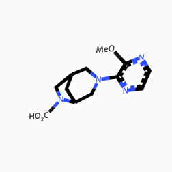 COc1nccnc1N1CC2CC(C1)N(C(=O)O)C2